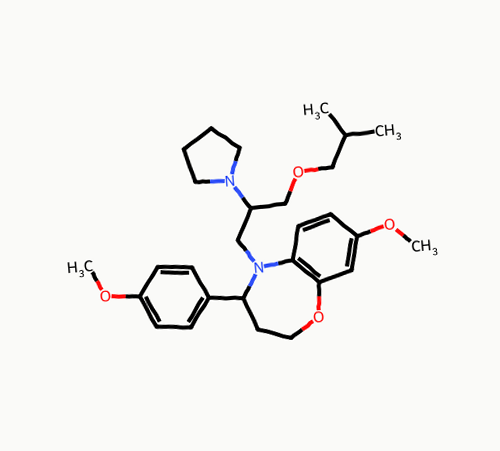 COc1ccc(C2CCOc3cc(OC)ccc3N2CC(COCC(C)C)N2CCCC2)cc1